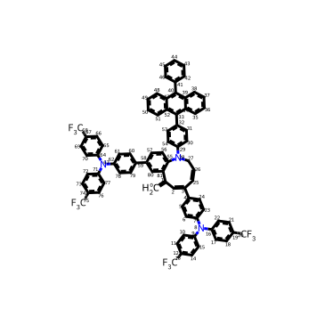 C=C1/C=C(c2ccc(N(c3ccc(C(F)(F)F)cc3)c3ccc(C(F)(F)F)cc3)cc2)\C=C/CN(c2ccc(-c3c4ccccc4c(-c4ccccc4)c4ccccc34)cc2)c2ccc(-c3ccc(N(c4ccc(C(F)(F)F)cc4)c4ccc(C(F)(F)F)cc4)cc3)cc21